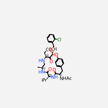 CC(=O)N[C@@H](Cc1ccc(O)cc1)C(=O)N[C@H](C(=O)N[C@@H](C)CN[C@@H](CC(=O)O)C(=O)COCc1ccccc1Cl)C(C)C